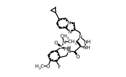 COc1ccc(S(=O)(=P)N(C)C)c(CNC(=O)C2=CN(Cc3cn4cc(C5CC5)ccc4n3)NN2)c1F